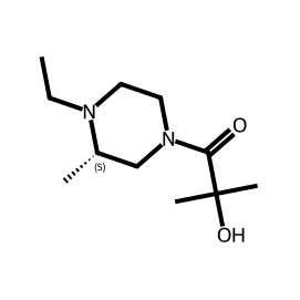 CCN1CCN(C(=O)C(C)(C)O)C[C@@H]1C